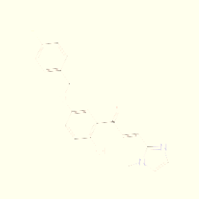 Cn1ccnc1C=CC(=O)c1cc(OCc2ccc(F)cc2)ccc1O